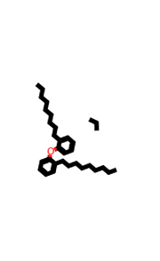 CCC.CCCCCCCCCc1ccccc1Oc1ccccc1CCCCCCCCC